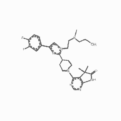 CN(CCO)CCn1cc(-c2ccc(F)c(F)c2)nc1C1CCN(c2ncnc3c2C(C)(C)C(=O)N3)CC1